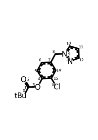 CC(C)(C)C(=O)Oc1ccc(Cn2cccn2)cc1Cl